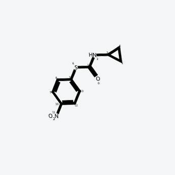 O=C(NC1CC1)Sc1ccc([N+](=O)[O-])cc1